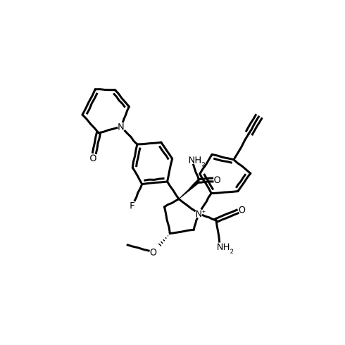 C#Cc1ccc([N+]2(C(N)=O)C[C@H](OC)C[C@]2(C(N)=O)c2ccc(-n3ccccc3=O)cc2F)cc1